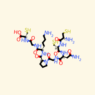 NCCCC[C@H](NC(=O)[C@@H]1CCCN1C(=O)CNC(=O)[C@H](CC(N)=O)NC(=O)[C@H](CS)NC(=O)[C@@H](N)CS)C(=O)NCC(=O)N[C@@H](CS)C(=O)O